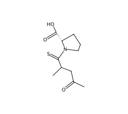 CC(=O)CC(C)C(=S)N1CCC[C@H]1C(=O)O